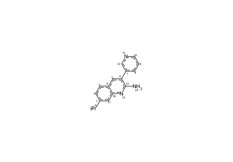 CC(C)c1ccc2cc(-c3cccnc3)c(N)nc2c1